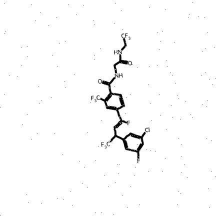 O=C(CNC(=O)c1ccc(C(F)=CC(c2cc(F)cc(Cl)c2)C(F)(F)F)cc1C(F)(F)F)NCC(F)(F)F